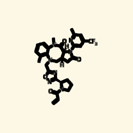 C=CC(=O)N1CCC[C@@H]1c1noc(CN2C[C@H]3CC(=O)N(c4cc(C(F)(F)F)cc(C)n4)[C@@H]3C(=O)N(C)c3cccc(C)c32)n1